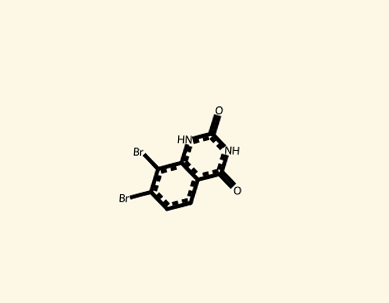 O=c1[nH]c(=O)c2ccc(Br)c(Br)c2[nH]1